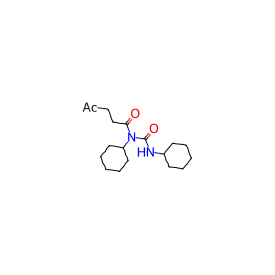 CC(=O)CCC(=O)N(C(=O)NC1CCCCC1)C1CCCCC1